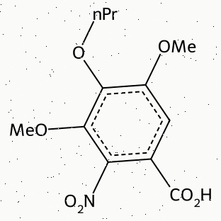 CCCOc1c(OC)cc(C(=O)O)c([N+](=O)[O-])c1OC